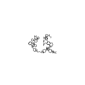 CC(=O)N1CCc2c(c(N3CCCc4cc(-c5cnn(C)c5)c(C(F)F)cc43)nn2C2CCN(CCCN3CCC(Cn4c(=O)n(C5CCC(=O)NC5=O)c5ccccc54)CC3)CC2)C1